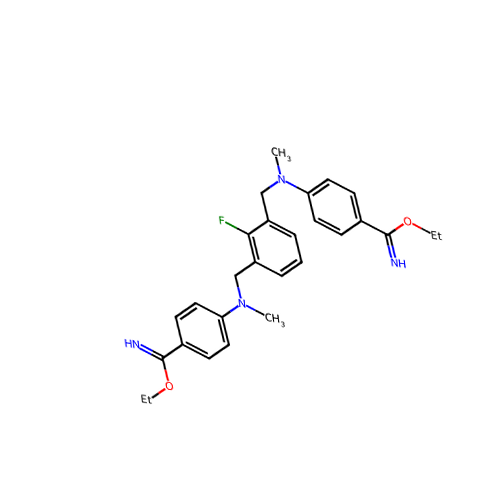 CCOC(=N)c1ccc(N(C)Cc2cccc(CN(C)c3ccc(C(=N)OCC)cc3)c2F)cc1